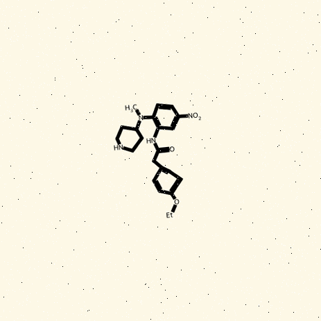 CCOc1ccc(CC(=O)Nc2cc([N+](=O)[O-])ccc2N(C)C2CCNCC2)cc1